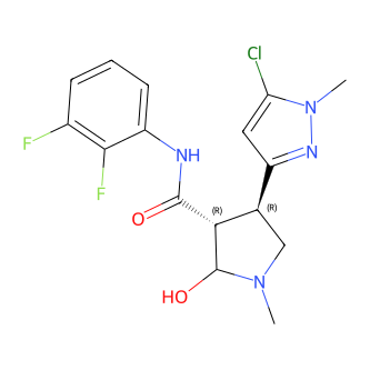 CN1C[C@H](c2cc(Cl)n(C)n2)[C@@H](C(=O)Nc2cccc(F)c2F)C1O